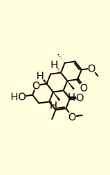 COC1=C[C@@H](C)[C@@H]2C[C@H]3OC(O)C[C@H]4C(C)=C(OC)C(=O)[C@H]([C@@]2(C)C1=O)[C@@]34C